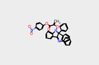 C=C(ON1c2ccccc2/C(=N/c2ccccc2)C1(c1ccccc1)c1ccccc1)C(=O)Oc1ccc([N+](=O)[O-])cc1